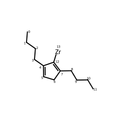 CCCCC1=CCC(CCCC)=[C]1[Zr]